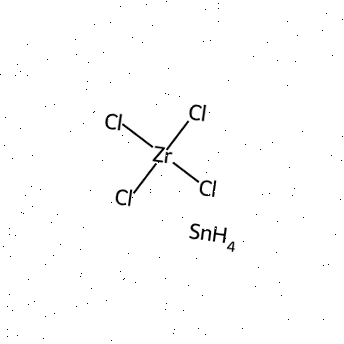 [Cl][Zr]([Cl])([Cl])[Cl].[SnH4]